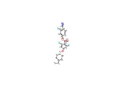 CC[C@H]1CC[C@H](COc2cc(F)c(C(=O)Oc3ccc(C#N)c(F)c3)c(F)c2)CC1